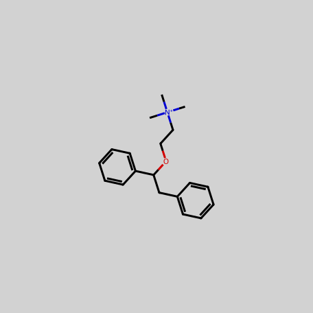 C[N+](C)(C)CCOC(Cc1ccccc1)c1ccccc1